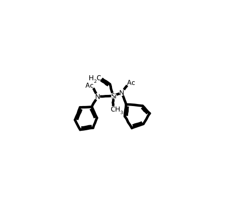 C=C[Si](C)(N(C(C)=O)c1ccccc1)N(C(C)=O)c1ccccc1